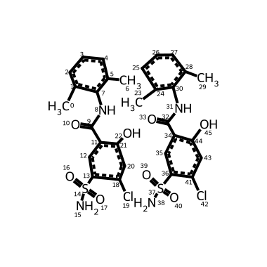 Cc1cccc(C)c1NC(=O)c1cc(S(N)(=O)=O)c(Cl)cc1O.Cc1cccc(C)c1NC(=O)c1cc(S(N)(=O)=O)c(Cl)cc1O